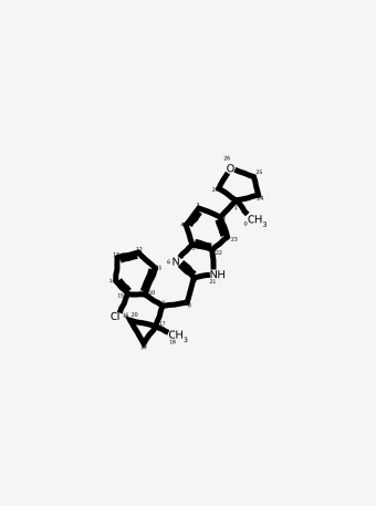 CC1(c2ccc3nc(CC(c4ccccc4Cl)C4(C)CC4)[nH]c3c2)CCOC1